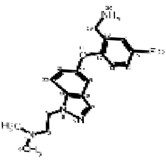 CN(C)CCn1ncc2cc(Oc3ccc(F)cc3CN)ccc21